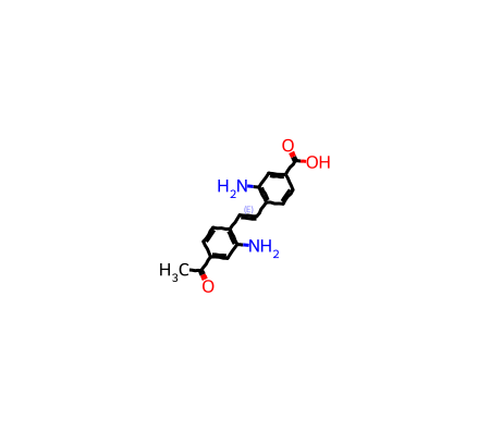 CC(=O)c1ccc(/C=C/c2ccc(C(=O)O)cc2N)c(N)c1